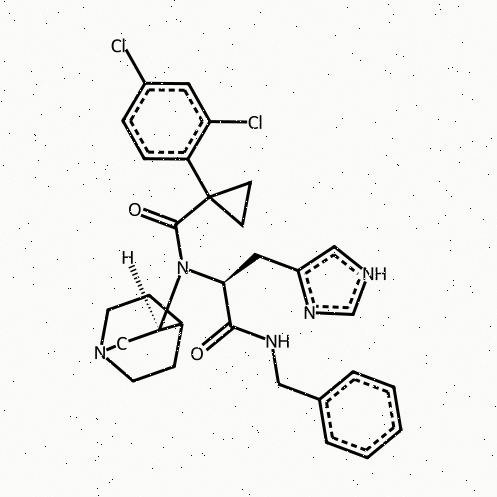 O=C(NCc1ccccc1)[C@H](Cc1c[nH]cn1)N(C(=O)C1(c2ccc(Cl)cc2Cl)CC1)[C@@H]1CN2CCC1CC2